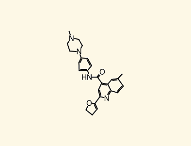 Cc1ccc2nc(C3=CCCO3)cc(C(=O)Nc3ccc(N4CCN(C)CC4)cc3)c2c1